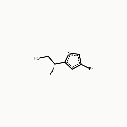 OC[C@@H](Cl)c1cc(Br)cs1